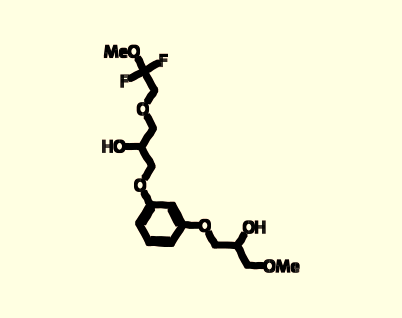 COCC(O)COc1cccc(OCC(O)COCC(F)(F)OC)c1